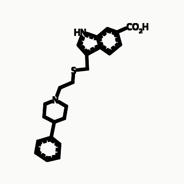 O=C(O)c1ccc2c(CSCCN3CCC(c4ccccc4)CC3)c[nH]c2c1